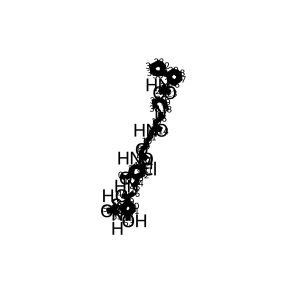 COC1=CC(NC(=O)OCCCNC(=O)CCN2CCC(OC(=O)Nc3ccccc3-c3ccccc3)CC2)C(Cl)(Cl)C=C1CNCC(O)c1ccc(O)c2[nH]c(=O)sc12